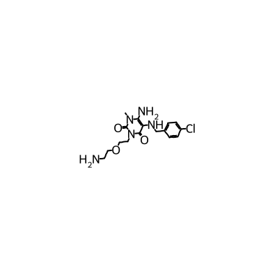 Cn1c(N)c(NCc2ccc(Cl)cc2)c(=O)n(CCOCCN)c1=O